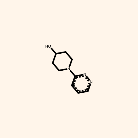 OC1CCN(c2cc[c]nn2)CC1